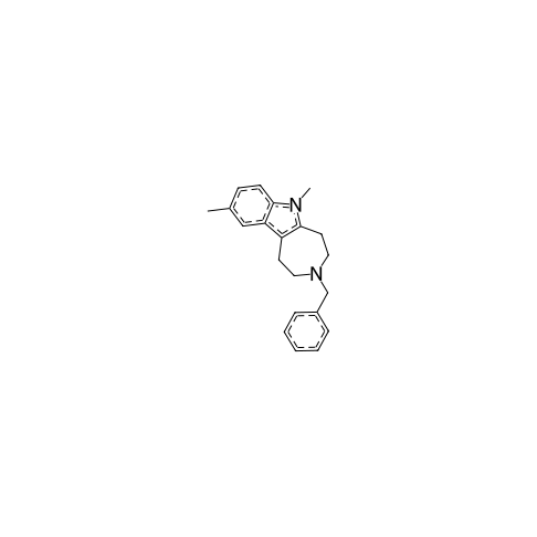 Cc1ccc2c(c1)c1c(n2C)CCN(Cc2ccccc2)CC1